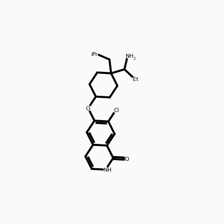 CCC(N)C1(CC(C)C)CCC(Oc2cc3cc[nH]c(=O)c3cc2Cl)CC1